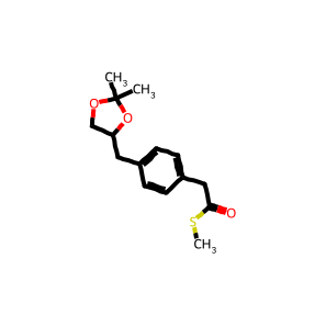 CSC(=O)Cc1ccc(CC2COC(C)(C)O2)cc1